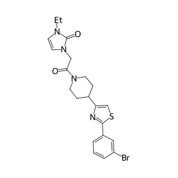 CCn1ccn(CC(=O)N2CCC(c3csc(-c4cccc(Br)c4)n3)CC2)c1=O